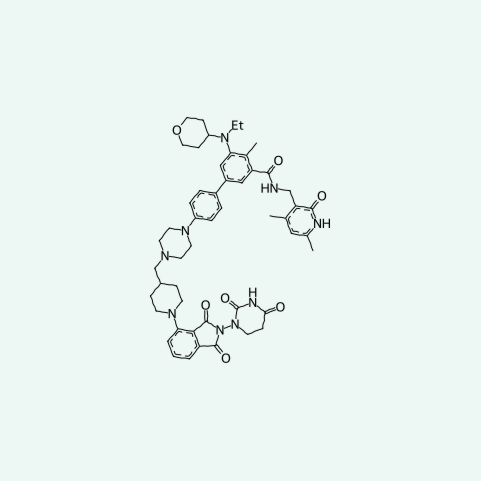 CCN(c1cc(-c2ccc(N3CCN(CC4CCN(c5cccc6c5C(=O)N(N5CCC(=O)NC5=O)C6=O)CC4)CC3)cc2)cc(C(=O)NCc2c(C)cc(C)[nH]c2=O)c1C)C1CCOCC1